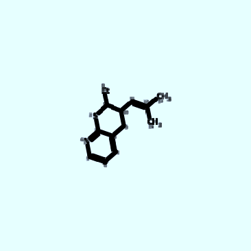 CCC1Sc2ncccc2CC1C=C(C)C